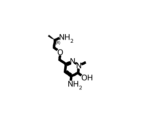 C[C@@H](N)COCC1=NN(C)C(O)C(N)=C1